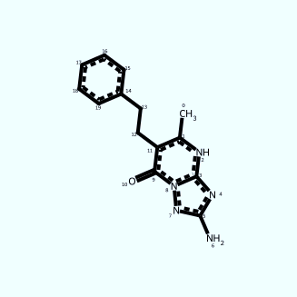 Cc1[nH]c2nc(N)nn2c(=O)c1CCc1ccccc1